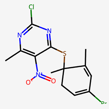 CC1=CC(Br)=CCC1(C)Sc1nc(Cl)nc(C)c1[N+](=O)[O-]